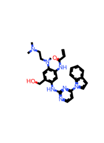 C=CC(=O)Nc1cc(Nc2nccc(-n3ccc4ccccc43)n2)c(CO)cc1N(C)CCN(C)C